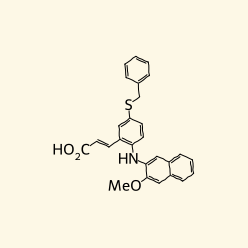 COc1cc2ccccc2cc1Nc1ccc(SCc2ccccc2)cc1C=CC(=O)O